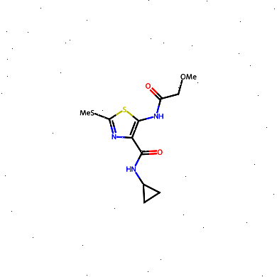 COCC(=O)Nc1sc(SC)nc1C(=O)NC1CC1